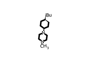 CC[C@H](C)[C@H]1CC[C@@H](N2CCN(C)CC2)CC1